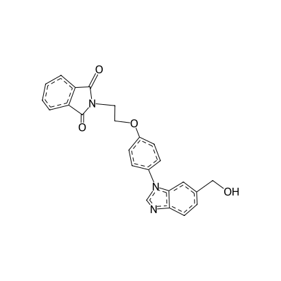 O=C1c2ccccc2C(=O)N1CCOc1ccc(-n2cnc3ccc(CO)cc32)cc1